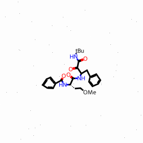 COCC[C@H](NC(=O)c1ccccc1)C(=O)NC(Cc1ccccc1)C(=O)C(=O)NC(C)(C)C